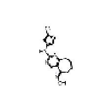 N#Cc1cc(Nc2ncc3c(n2)CCCC/C3=N\O)cs1